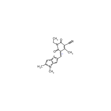 CCN1C(=O)C(C#N)=C(C)/C(=C/c2cc3c(cc(C)n3C)s2)C1=O